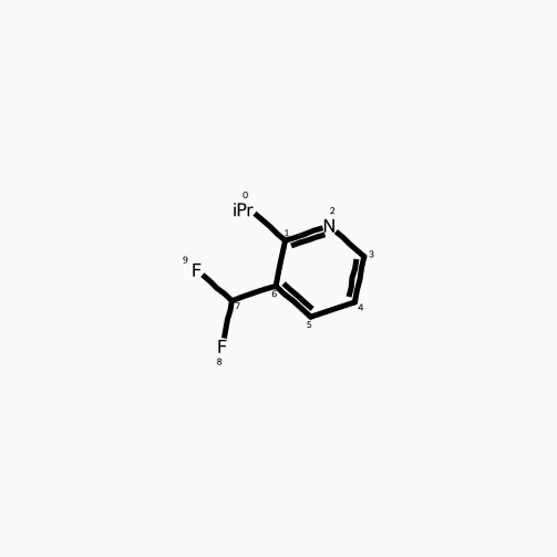 CC(C)c1ncccc1C(F)F